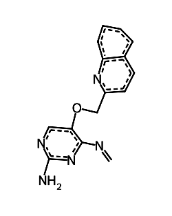 C=Nc1nc(N)ncc1OCc1ccc2ccccc2n1